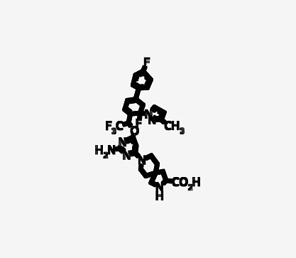 Cc1ccn(C2(F)CC(c3ccc(F)cc3)=CC=C2C(Oc2cc(N3CCC4(CC3)CNC(C(=O)O)C4)nc(N)n2)C(F)(F)F)n1